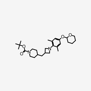 Cc1cc(OC2CCCCO2)cc(C)c1N1CC(CC2CCN(C(=O)OC(C)(C)C)CC2)C1